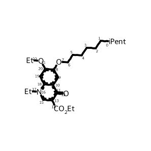 CCCC(C)CCCCCCOc1cc2c(=O)c(C(=O)OCC)cn(CC)c2cc1OCC